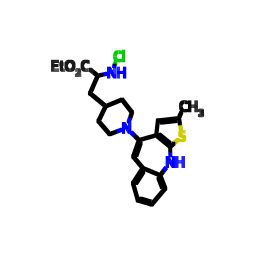 CCOC(=O)C(CC1CCN(C2=Cc3ccccc3Nc3sc(C)cc32)CC1)NCl